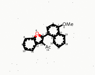 COc1ccc(-c2oc3ccccc3c2C(C)=O)c2ccccc12